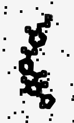 CCOCn1ccc(OC(=O)c2cccc(C(=O)n3c(=O)c(F)cn(C4CCCO4)c3=O)c2)cc1=O